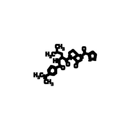 CC(C)CC(NC(=O)c1ccc(N(C)C)cc1)C(=O)N1CCC2C1C(=O)CN2C(=O)c1cccs1